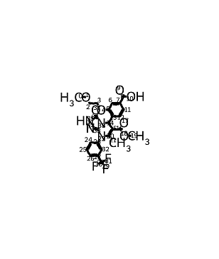 COCCOc1cc(C(=O)O)ccc1C1C(C(=O)OC)=C(C)N(c2cccc(C(F)(F)F)c2)c2n[nH]c(=O)n21